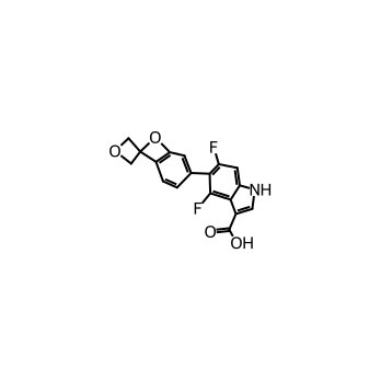 O=C(O)c1c[nH]c2cc(F)c(-c3ccc4c(c3)OC43COC3)c(F)c12